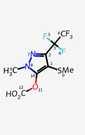 CSc1c(C(F)(F)C(F)(F)F)nn(C)c1OC(=O)O